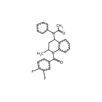 CC(=O)N(c1ccccc1)C1CC(C)N(C(=O)c2ccc(F)c(F)c2)c2ccccc21